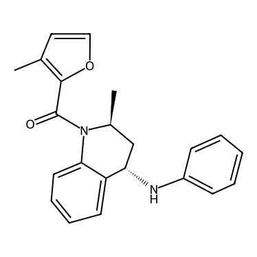 Cc1ccoc1C(=O)N1c2ccccc2[C@@H](Nc2ccccc2)C[C@@H]1C